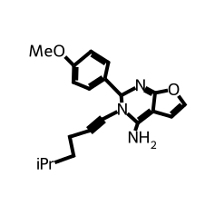 COc1ccc(C2N=c3occc3=C(N)N2C#CCCC(C)C)cc1